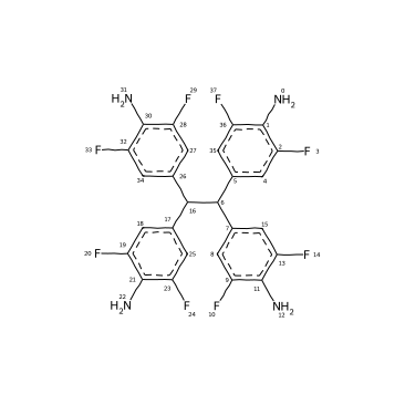 Nc1c(F)cc(C(c2cc(F)c(N)c(F)c2)C(c2cc(F)c(N)c(F)c2)c2cc(F)c(N)c(F)c2)cc1F